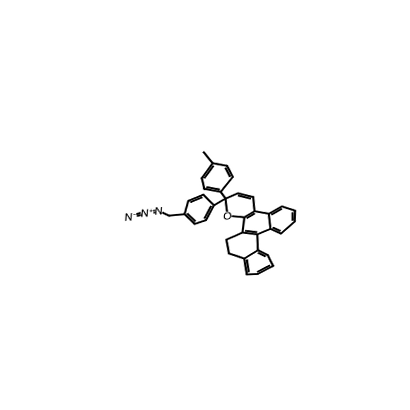 Cc1ccc(C2(c3ccc(CN=[N+]=[N-])cc3)C=Cc3c(c4c(c5ccccc35)-c3ccccc3CC4)O2)cc1